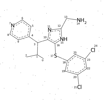 CC(C)C(c1ccncc1)c1nc(CN)[nH]c1Sc1cc(Cl)cc(Cl)c1